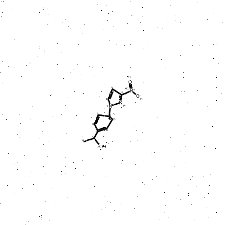 CC(O)c1ccc(-n2ccc([N+](=O)[O-])n2)cc1